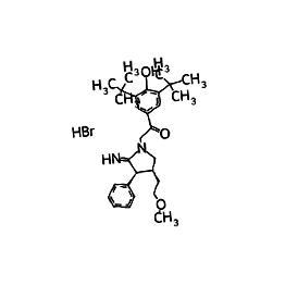 Br.COCC[C@@H]1CN(CC(=O)c2cc(C(C)(C)C)c(O)c(C(C)(C)C)c2)C(=N)[C@@H]1c1ccccc1